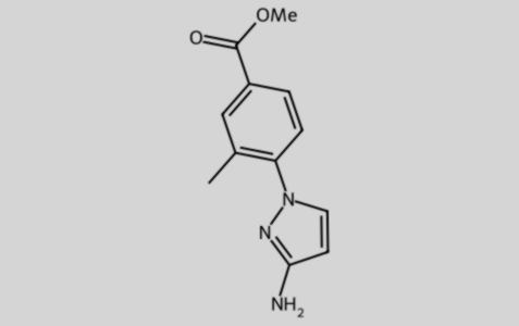 COC(=O)c1ccc(-n2ccc(N)n2)c(C)c1